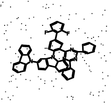 Fc1cccc(F)c1-c1ccc(N2c3cc(-n4c5ccccc5c5ccccc54)ccc3C3C=CC=CC32)c(-c2nc(-c3ccccc3)nc(-c3ccccc3)n2)c1